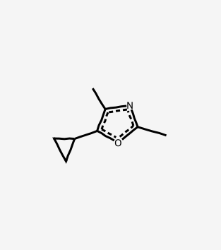 Cc1nc(C)c(C2CC2)o1